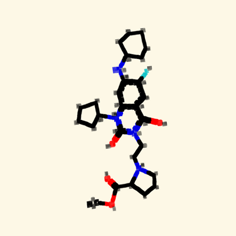 COC(=O)C1CCCN1CCn1c(=O)c2cc(F)c(NC3CCCCC3)cc2n(C2CCCC2)c1=O